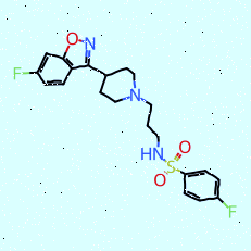 O=S(=O)(NCCCN1CCC(c2noc3cc(F)ccc23)CC1)c1ccc(F)cc1